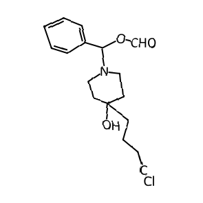 O=COC(c1ccccc1)N1CCC(O)(CCCCCl)CC1